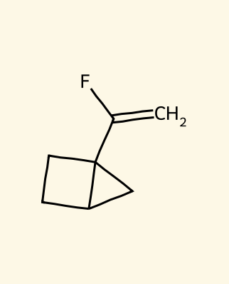 C=C(F)C12CCC1C2